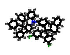 Fc1ccc(C2(c3ccc(F)cc3)c3cc(N(c4ccccc4)c4ccc5c(c4)C(c4ccccc4)(c4ccccc4)c4ccccc4-5)ccc3-c3c2ccc2ccccc32)cc1